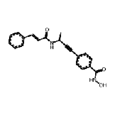 CC(C#Cc1ccc(C(=O)NO)cc1)NC(=O)C=Cc1ccccc1